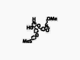 COCCCN1CCOc2ccc(COC3CNCC(O)C3c3ccc(Oc4ccc(SC)cc4)cc3)cc21